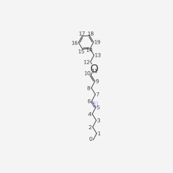 CCCCC/C=C/CCC=COCCc1ccccc1